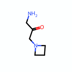 NCC(=O)CN1CCC1